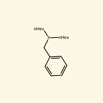 CCCCCCP(CCCCCC)Cc1ccccc1